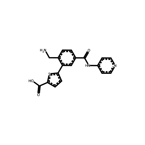 NCc1ccc(C(=O)Nc2ccncc2)cc1-c1ccc(C(=O)O)s1